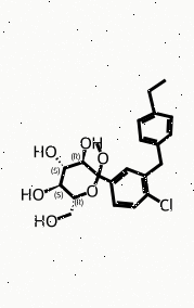 CCc1ccc(Cc2cc(C3(OC)O[C@H](CO)[C@@H](O)[C@H](O)[C@H]3O)ccc2Cl)cc1